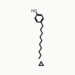 C1CC1.CCCCCCCCCCc1ccc(O)cc1